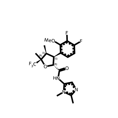 COc1c([C@H]2[C@H](C(=O)Nc3cnc(C)n3C)O[C@@](C)(C(F)(F)F)[C@H]2C)ccc(F)c1F